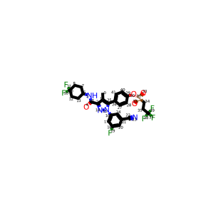 Cc1c(C(=O)NC2CCC(F)(F)CC2)nn(-c2cc(F)cc(C#N)c2)c1-c1ccc(OS(=O)(=O)CCC(F)(F)F)cc1